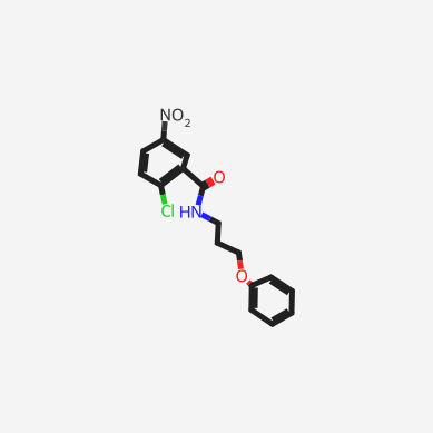 O=C(NCCCOc1ccccc1)c1cc([N+](=O)[O-])ccc1Cl